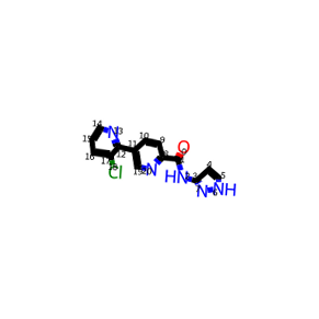 O=C(Nc1cc[nH]n1)c1ccc(-c2ncccc2Cl)cn1